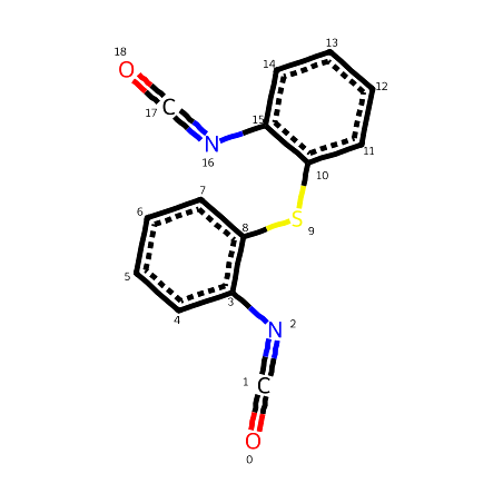 O=C=Nc1ccccc1Sc1ccccc1N=C=O